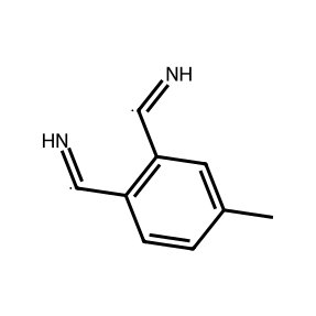 Cc1ccc([C]=N)c([C]=N)c1